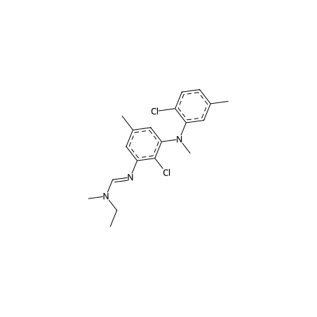 CCN(C)C=Nc1cc(C)cc(N(C)c2cc(C)ccc2Cl)c1Cl